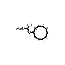 COC(C)OC1CCCCCCCCC1